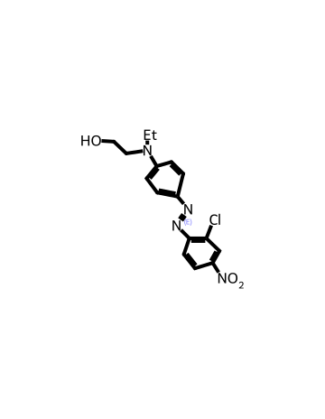 CCN(CCO)c1ccc(/N=N/c2ccc([N+](=O)[O-])cc2Cl)cc1